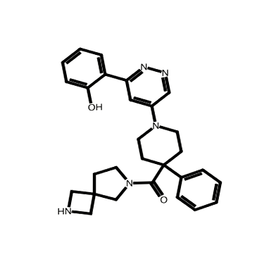 O=C(N1CCC2(CNC2)C1)C1(c2ccccc2)CCN(c2cnnc(-c3ccccc3O)c2)CC1